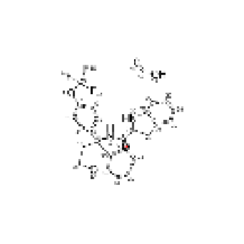 O=C(N[C@]1(c2ccc(OC(F)(F)F)cc2)CCOc2cccnc21)C1Cc2ccccc2N1.O=CO